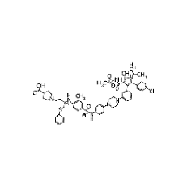 Cc1cc(S(=O)(=O)Nc2ccc(N3CCN(c4cccc(-c5c(C(=O)NS(C)(=O)=O)c(C)n(C(C)C)c5-c5ccc(Cl)cc5)c4)CC3)cc2)ccc1N[C@H](CCN1CCC(C(=O)O)CC1)CSc1ccccc1